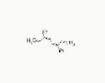 C=C/C(=C\C=C(/C=C)C(C)C)C(C)C